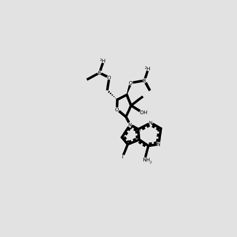 [2H]B(C)OC[C@H]1OC(n2cc(I)c3c(N)ncnc32)C(C)(O)[C@@H]1OB([2H])C